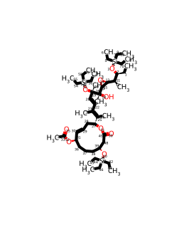 CC[C@H](O[Si](CC)(CC)CC)[C@@H](C)[C@@H]1O[C@@H]1[C@@](C)(O)[C@@](C)(/C=C/C(C)=C(\C)[C@H]1C/C=C/[C@H](OC(C)=O)CCC[C@@H](O[Si](CC)(CC)CC)CC(=O)O1)O[Si](CC)(CC)CC